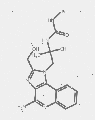 CC(C)NC(=O)NC(C)(C)Cn1c(CO)nc2c(N)nc3ccccc3c21